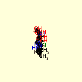 C[C@]12C[C@@H]3C[C@](C)(C1)C[C@@](Nc1nc(Cl)nc4c1ncn4[C@@H]1O[C@H](CNP(=O)(O)CC(=O)O)C(O)C1O)(C3)C2